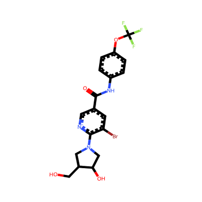 O=C(Nc1ccc(OC(F)(F)F)cc1)c1cnc(N2CC(O)C(CO)C2)c(Br)c1